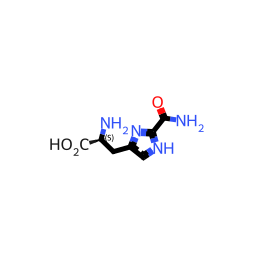 NC(=O)c1nc(C[C@H](N)C(=O)O)c[nH]1